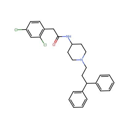 O=C(Cc1ccc(Cl)cc1Cl)NC1CCN(CCC(c2ccccc2)c2ccccc2)CC1